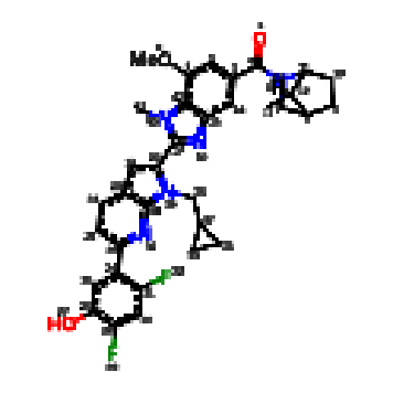 COc1cc(C(=O)N2CC3CCC2[C@@H]3C)cc2nc(-c3cc4ccc(-c5cc(O)c(F)cc5F)nc4n3CC3CC3)n(C)c12